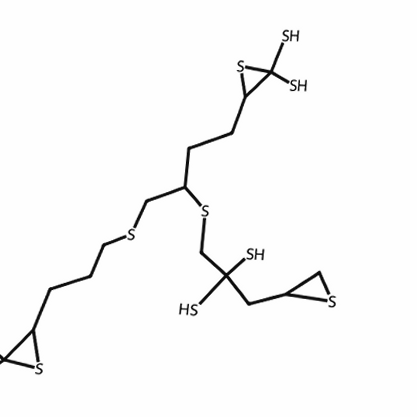 SC(S)(CSC(CCC1SC1(S)S)CSCCCC1SC1(S)S)CC1CS1